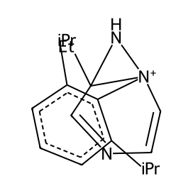 CCC12C=NC=C[N+]1(c1c(C(C)C)cccc1C(C)C)N2